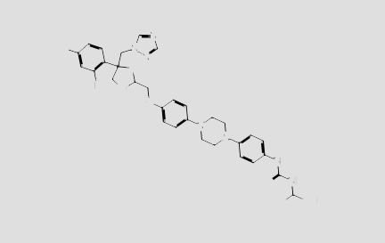 CC(C)NC(=O)Nc1ccc(N2CCN(c3ccc(OCC4OCC(Cn5cncn5)(c5ccc(F)cc5F)O4)cc3)CC2)cc1